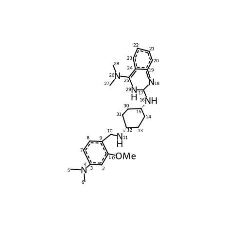 COc1cc(N(C)C)ccc1CN[C@H]1CC[C@@H](NC2N=c3ccccc3=C(N(C)C)N2)CC1